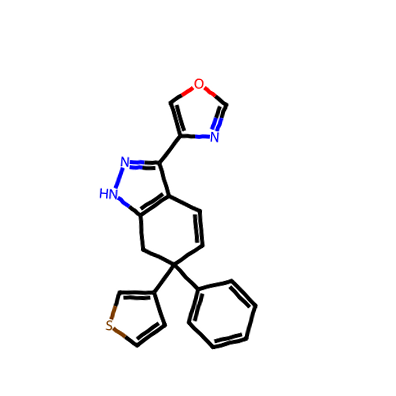 C1=CC(c2ccccc2)(c2ccsc2)Cc2[nH]nc(-c3cocn3)c21